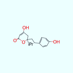 CC(C)C1(CCc2ccc(O)cc2)CC(O)=CC(=O)O1